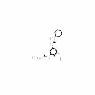 CC(C)(C)NC(=O)Nc1cc(NC(=O)NC2CCCCC2)cc(Cl)c1O